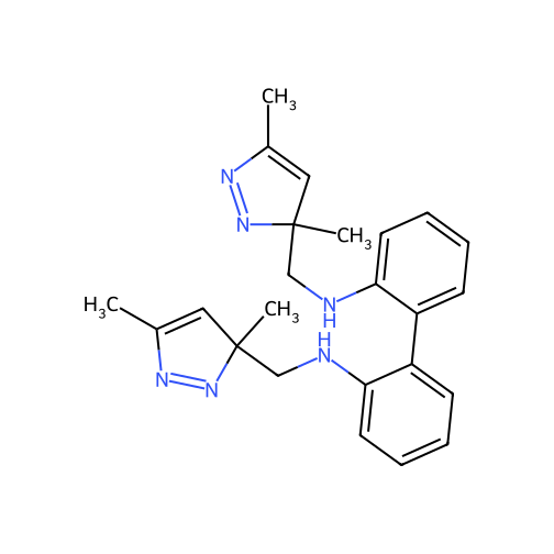 CC1=CC(C)(CNc2ccccc2-c2ccccc2NCC2(C)C=C(C)N=N2)N=N1